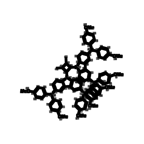 COc1ccc(N(c2ccc(OC)cc2)c2ccc3c(c2)c2cc(N(c4ccc(OC)cc4)c4ccc(OC)cc4)ccc2n3C2C(C)C(C)C2n2c3ccc(N(c4ccc(OC)cc4)c4ccc(OC)cc4)cc3c3cc(N(c4ccc(OC)cc4)c4ccc(OC)cc4)ccc32)cc1